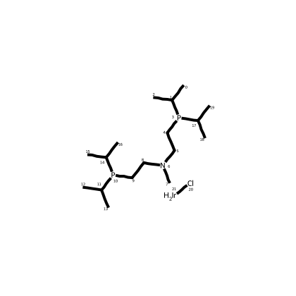 CC(C)P(CCN(C)CCP(C(C)C)C(C)C)C(C)C.[Cl][IrH2]